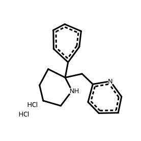 Cl.Cl.c1ccc(C2(Cc3ccccn3)CCCCN2)cc1